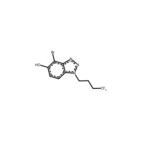 Oc1ccc2c(nnn2CCCC(F)(F)F)c1Br